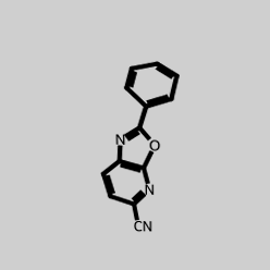 N#Cc1ccc2nc(-c3ccccc3)oc2n1